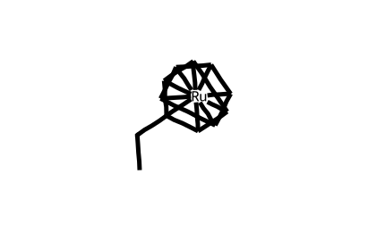 CC[C]12[CH]3[CH]4[CH]5[CH]1[Ru]45321678[CH]2[CH]1[CH]6[CH]7[CH]28